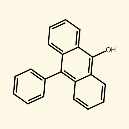 Oc1c2ccccc2c(-c2ccccc2)c2ccccc12